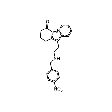 O=C1CCCc2c(CCNCc3ccc([N+](=O)[O-])cc3)c3ccccn3c21